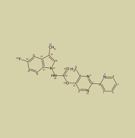 Cc1nc(-c2ccccn2)ncc1OC(=O)Nn1cc(C)c2cc(F)ccc21